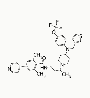 Cc1cc(-c2ccncc2)cc(C)c1C(=O)NCCC(C)N1CCC(N(Cc2ccsc2)c2ccc(OC(F)(F)F)cc2)CC1